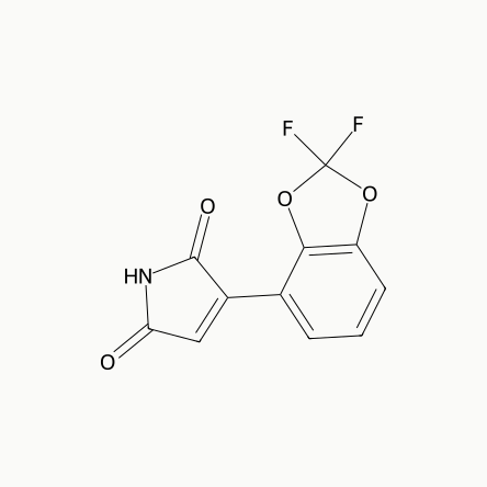 O=C1C=C(c2cccc3c2OC(F)(F)O3)C(=O)N1